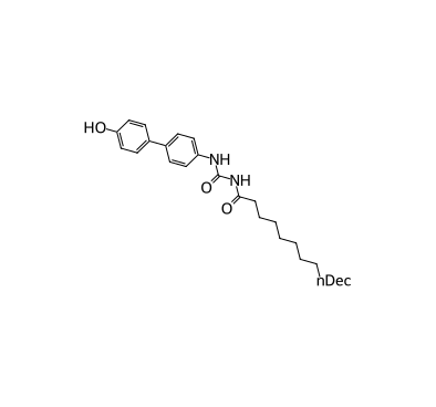 CCCCCCCCCCCCCCCCCC(=O)NC(=O)Nc1ccc(-c2ccc(O)cc2)cc1